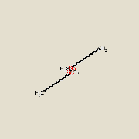 CCCCCCCCCCCCCCCCCC(=O)O[Si](C)(C)OC(=O)CCCCCCCCCCCCCCCCC